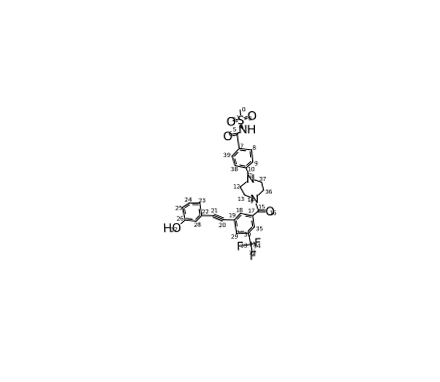 CS(=O)(=O)NC(=O)c1ccc(N2CCN(C(=O)c3cc(C#Cc4cccc(O)c4)cc(C(F)(F)F)c3)CC2)cc1